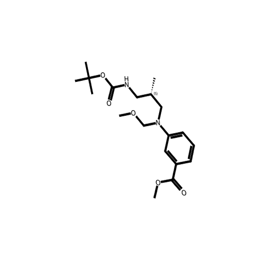 COCN(C[C@@H](C)CNC(=O)OC(C)(C)C)c1cccc(C(=O)OC)c1